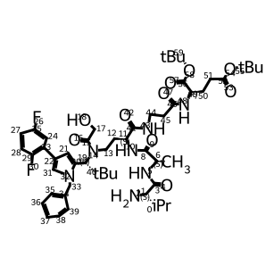 CC(C)[C@H](N)C(=O)N[C@@H](C)C(=O)N[C@@H](CCN(C(=O)CO)[C@@H](c1cc(-c2cc(F)ccc2F)cn1Cc1ccccc1)C(C)(C)C)C(=O)NCCC(=O)N[C@H](CCC(=O)OC(C)(C)C)C(=O)OC(C)(C)C